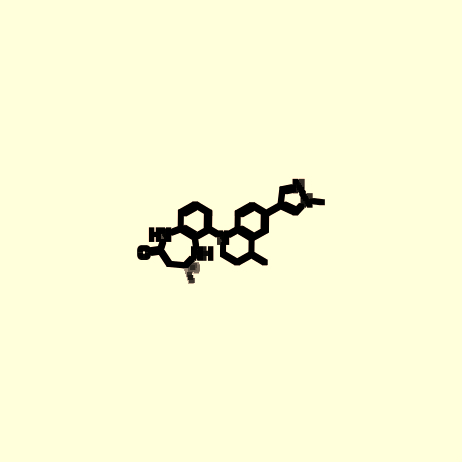 CC1CCN(c2cccc3c2N[C@H](C)CC(=O)N3)c2ccc(-c3cnn(C)c3)cc21